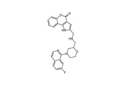 O=c1oc2ccccc2c2[nH]c(CNCC3CN(c4nccc5ccc(F)cc45)CCO3)cc12